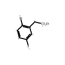 CCOC(=O)Cc1cc(F)ccc1Br